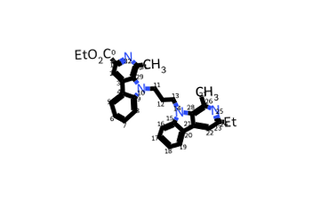 CCOC(=O)c1cc2c3ccccc3n(CCCn3c4ccccc4c4cc(CC)nc(C)c43)c2c(C)n1